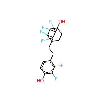 Oc1ccc(CCC23CCC(O)(CC2)C(F)(F)C3(F)F)c(F)c1F